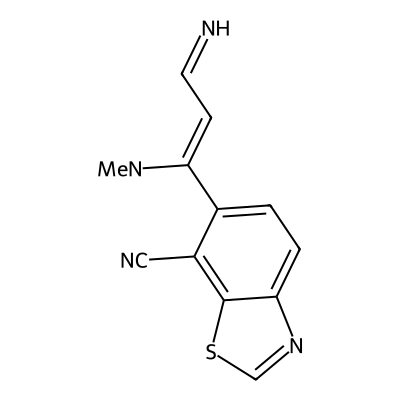 CN/C(=C\C=N)c1ccc2ncsc2c1C#N